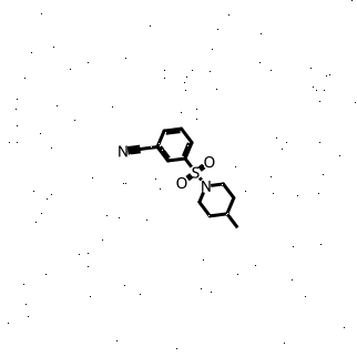 CC1CCN(S(=O)(=O)c2cccc(C#N)c2)CC1